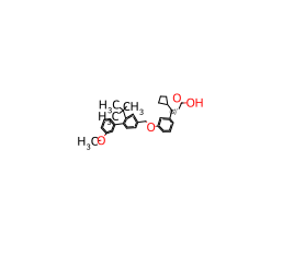 COc1cccc(-c2ccc(COc3cccc([C@@H](CC(=O)O)C4CCC4)c3)cc2C(C)(C)C)c1